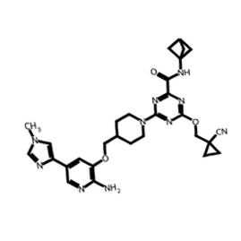 Cn1cnc(-c2cnc(N)c(OCC3CCN(c4nc(OCC5(C#N)CC5)nc(C(=O)NC56CC(C5)C6)n4)CC3)c2)c1